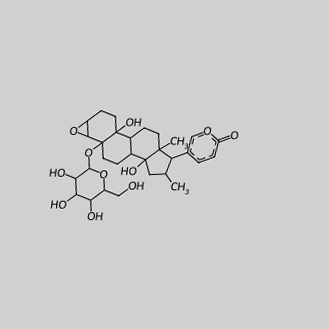 CC1CC2(O)C3CCC4(OC5OC(CO)C(O)C(O)C5O)C5OC5CCC4(O)C3CCC2(C)C1c1ccc(=O)oc1